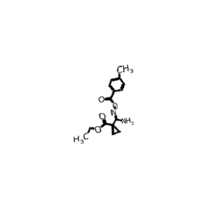 CCOC(=O)C1(/C(N)=N/OC(=O)c2ccc(C)cc2)CC1